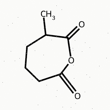 CC1CCCC(=O)OC1=O